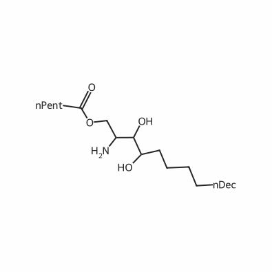 CCCCCCCCCCCCCCC(O)C(O)C(N)COC(=O)CCCCC